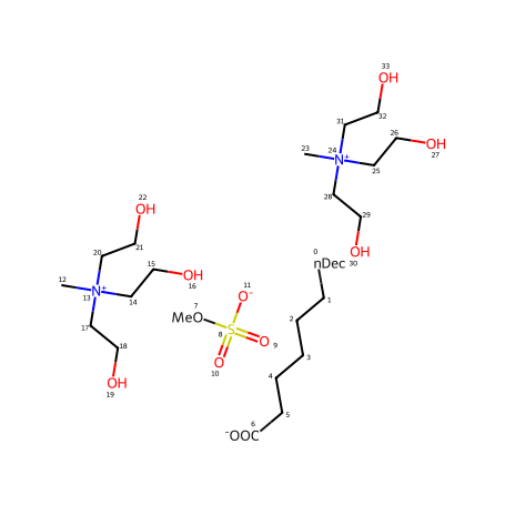 CCCCCCCCCCCCCCCC(=O)[O-].COS(=O)(=O)[O-].C[N+](CCO)(CCO)CCO.C[N+](CCO)(CCO)CCO